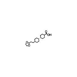 O=C(O)C1CCC([C@H]2CC[C@H](CCC3OCCO3)CC2)CC1